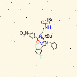 CC(C)(C)OC(=O)NCCCN(C(=O)c1ccc([N+](=O)[O-])cc1)[C@@H](c1nc(-c2cc(F)ccc2F)cn1Cc1ccccc1)C(C)(C)C